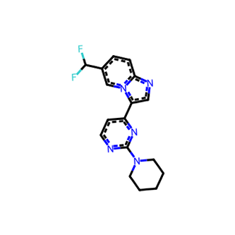 FC(F)c1ccc2ncc(-c3ccnc(N4CCCCC4)n3)n2c1